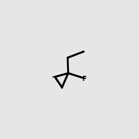 CCC1(F)[CH]C1